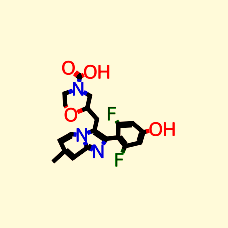 Cc1ccn2c(CC3CN(C(=O)O)CCO3)c(-c3c(F)cc(O)cc3F)nc2c1